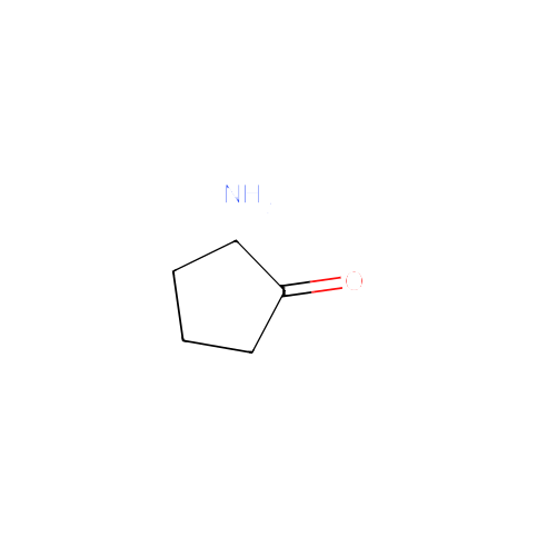 N.O=C1CCCC1